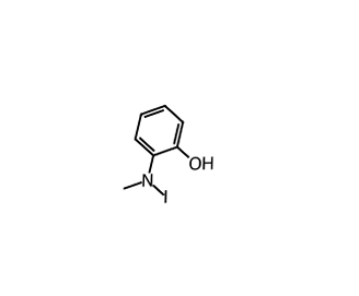 CN(I)c1ccccc1O